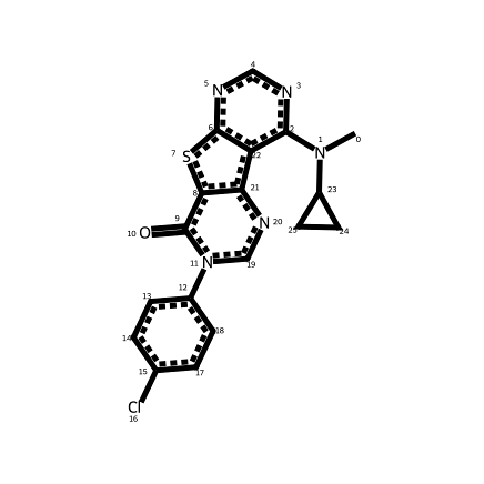 CN(c1ncnc2sc3c(=O)n(-c4ccc(Cl)cc4)cnc3c12)C1CC1